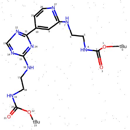 CC(C)(C)OC(=O)NCCNc1cc(-c2ncnc(NCCNC(=O)OC(C)(C)C)n2)ccn1